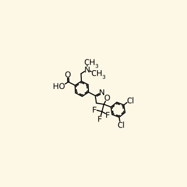 CN(C)Cc1cc(C2=NOC(c3cc(Cl)cc(Cl)c3)(C(F)(F)F)C2)ccc1C(=O)O